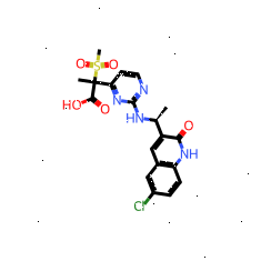 C[C@H](Nc1nccc(C(C)(C(=O)O)S(C)(=O)=O)n1)c1cc2cc(Cl)ccc2[nH]c1=O